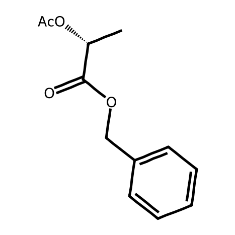 CC(=O)O[C@H](C)C(=O)OCc1ccccc1